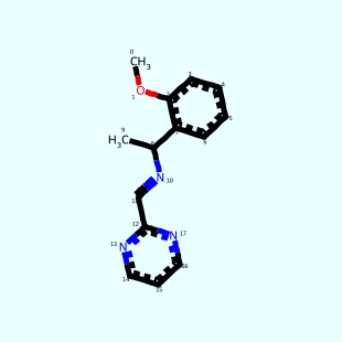 COc1ccccc1C(C)N=Cc1ncccn1